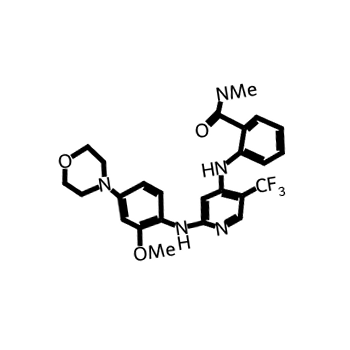 CNC(=O)c1ccccc1Nc1cc(Nc2ccc(N3CCOCC3)cc2OC)ncc1C(F)(F)F